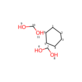 C1CCCCC1.OCO.OCO